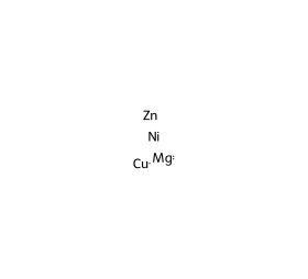 [Cu].[Mg].[Ni].[Zn]